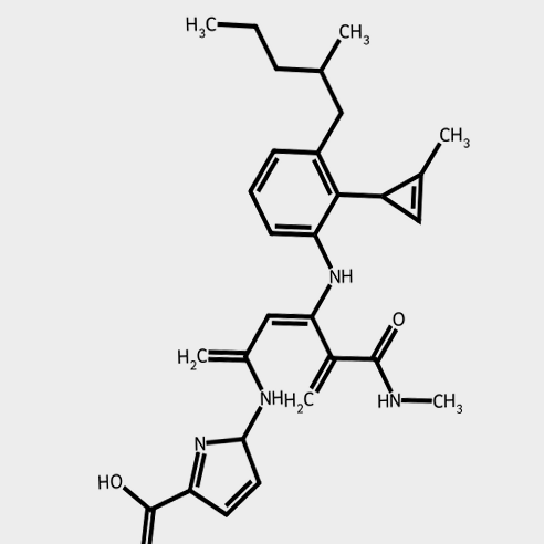 C=C(/C=C(/Nc1cccc(CC(C)CCC)c1C1C=C1C)C(=C)C(=O)NC)NC1C=CC(C(=O)O)=N1